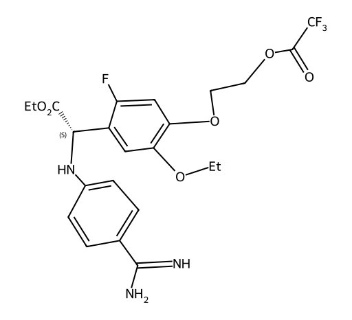 CCOC(=O)[C@@H](Nc1ccc(C(=N)N)cc1)c1cc(OCC)c(OCCOC(=O)C(F)(F)F)cc1F